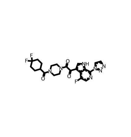 O=C(C(=O)N1CCN(C(=O)C2CCC(F)(F)CC2)CC1)c1c[nH]c2c(-n3ccnn3)ncc(F)c12